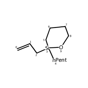 C=CC[Si]1(CCCCC)CCCCO1